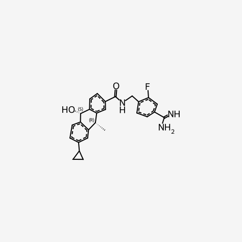 C[C@H]1c2cc(C(=O)NCc3ccc(C(=N)N)cc3F)ccc2[C@@H](O)c2ccc(C3CC3)cc21